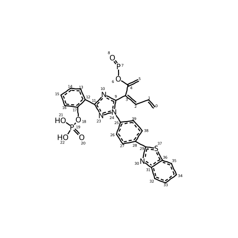 C=C/C=C(\C(=C)OP=O)c1nc(-c2ccccc2OP(=O)(O)O)nn1-c1ccc(-c2nc3ccccc3s2)cc1